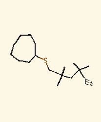 CCC(C)(C)CC(C)(C)CSC1CCCCCCC1